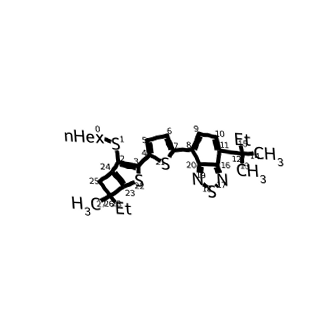 CCCCCCSc1c(-c2ccc(-c3ccc(C(C)(C)CC)c4nsnc34)s2)sc2c1CC2(C)CC